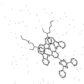 CCCCCC(CC)c1ccc2c(c1)c1cc(C(CC)CCCCC)ccc1n2-c1c(-n2c3ccccc3c3ccccc32)cc(-c2nc(-c3ccccc3)nc(-c3ccccc3)n2)cc1-n1c2ccccc2c2ccccc21